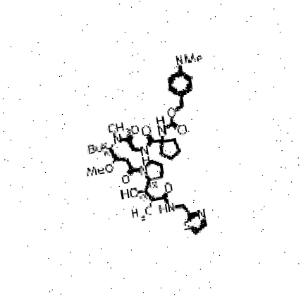 CC[C@H](C)[C@@H]([C@@H](CC(=O)N1CCC[C@H]1[C@H](O)[C@@H](C)C(=O)NCc1nccs1)OC)N(C)C(=O)CNC(=O)C1(NC(=O)OCc2ccc(NC)cc2)CCCC1